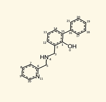 Oc1c(CNCc2ccccn2)cccc1-c1ccccc1